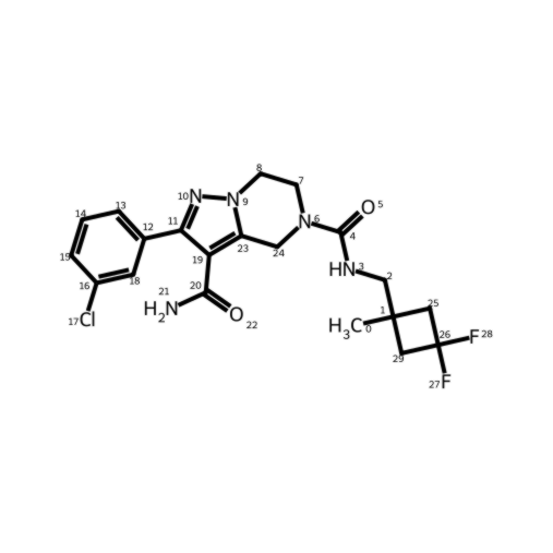 CC1(CNC(=O)N2CCn3nc(-c4cccc(Cl)c4)c(C(N)=O)c3C2)CC(F)(F)C1